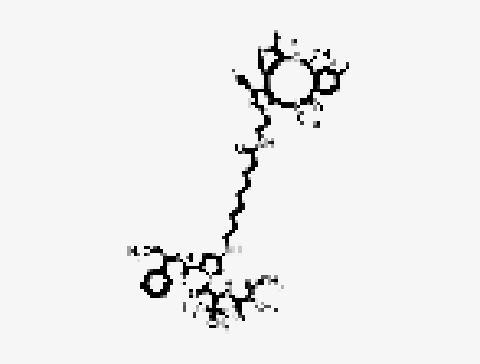 CC[C@@H](NC(=O)[C@@H]1C[C@H](NCCCCCCCCC(=O)NCCn2nc(C#N)c3c2CN(C)C(=O)c2ccc(F)cc2[C@@H](C)Oc2cc-3cnc2N)CN1C(=O)C(NC(=O)[C@H](C)NC)C(C)(C)C)c1ccccc1